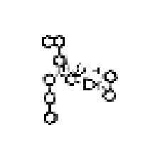 CC1(C)c2cc(N(c3ccc(-c4cccc5ccccc45)cc3)c3cccc(-c4ccc(-c5ccccc5)cc4)c3)ccc2-c2ccc(-n3c4ccccc4c4ccccc43)cc21